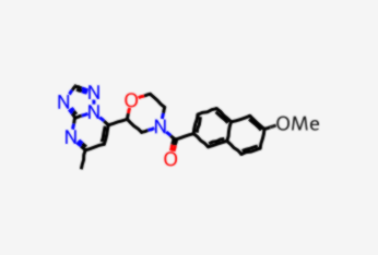 COc1ccc2cc(C(=O)N3CCOC(c4cc(C)nc5ncnn45)C3)ccc2c1